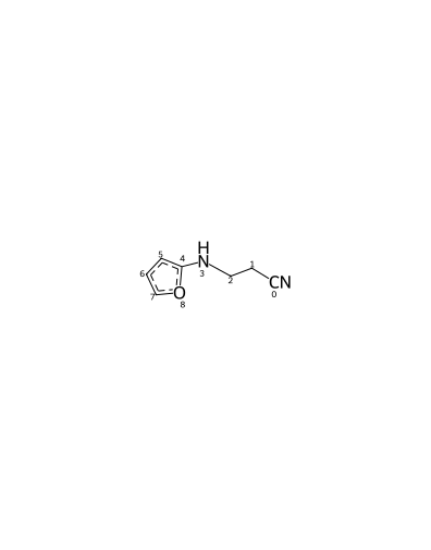 N#CCCNc1ccco1